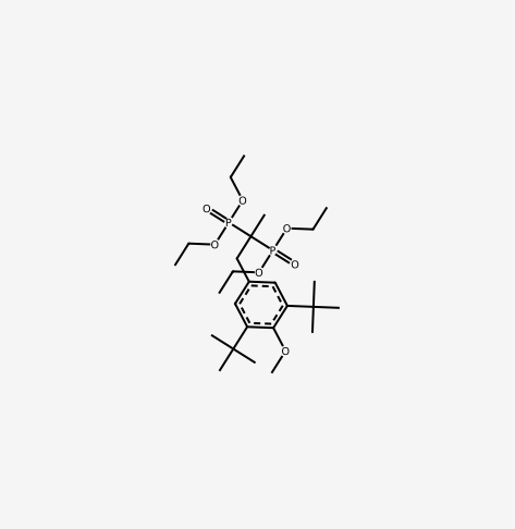 CCOP(=O)(OCC)C(C)(Cc1cc(C(C)(C)C)c(OC)c(C(C)(C)C)c1)P(=O)(OCC)OCC